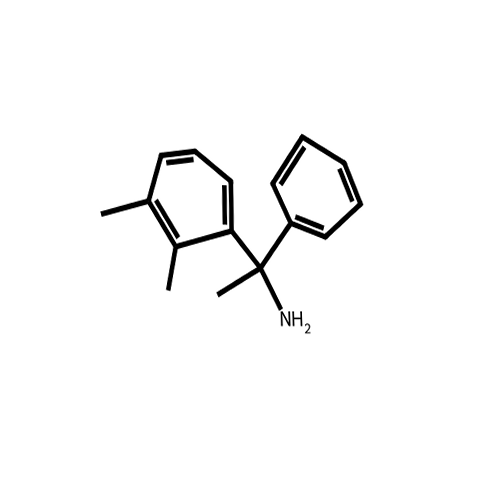 Cc1cccc(C(C)(N)c2ccccc2)c1C